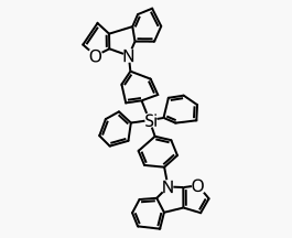 c1ccc([Si](c2ccccc2)(c2ccc(-n3c4ccccc4c4ccoc43)cc2)c2ccc(-n3c4ccccc4c4ccoc43)cc2)cc1